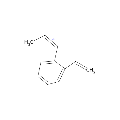 C=Cc1ccccc1/C=C\C